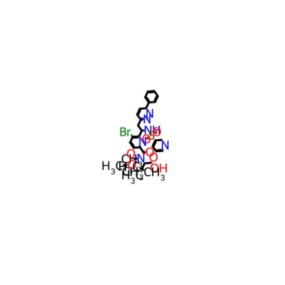 CC(C)(C)OC(=O)N(C(=O)c1ccc(Br)c(C(Cc2ccc(-c3ccccc3)nn2)NS(=O)(=O)c2cccnc2)n1)C(C(=O)O)C(C)(C)C